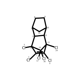 ClC1=C(Cl)C2(Cl)C3C4CCC(C4)C3C1(Cl)C2(Cl)Cl